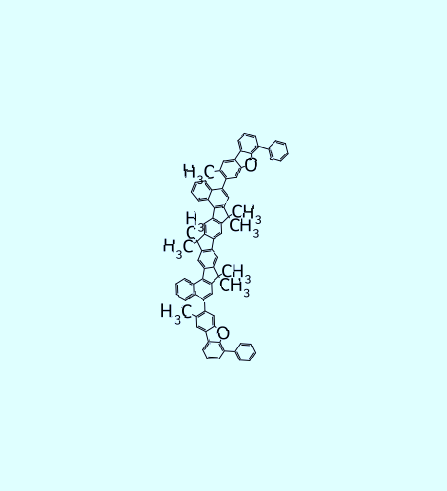 Cc1cc2c(cc1-c1cc3c(c4ccccc14)-c1cc4c(cc1C3(C)C)-c1cc3c(cc1C4(C)C)-c1c(cc(-c4cc5oc6c(-c7ccccc7)cccc6c5cc4C)c4ccccc14)C3(C)C)oc1c(-c3ccccc3)cccc12